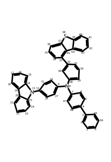 c1ccc(-c2ccc(N(c3ccc(-n4c5ccccc5c5ccccc54)cc3)c3cccc(-c4cccc5sc6ccccc6c45)c3)cc2)cc1